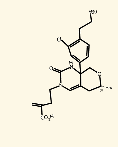 C=C(CCN1C=C2C[C@@H](C)OCC2(c2ccc(CCC(C)(C)C)c(Cl)c2)NC1=O)C(=O)O